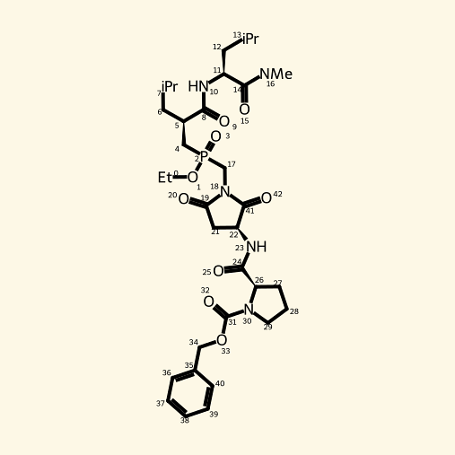 CCOP(=O)(C[C@@H](CC(C)C)C(=O)N[C@@H](CC(C)C)C(=O)NC)CN1C(=O)C[C@H](NC(=O)[C@H]2CCCN2C(=O)OCc2ccccc2)C1=O